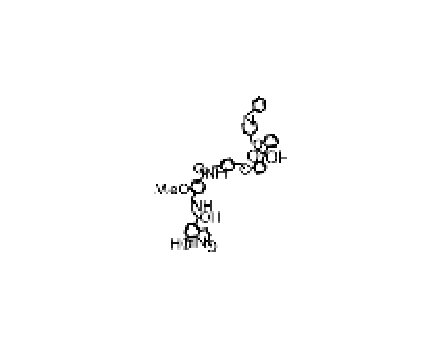 COc1cc(C(=O)NCc2ccc(COc3cccc([C@](O)(C(=O)OCC4CCN(Cc5ccccc5)CC4)c4ccccc4)c3)cc2)ccc1CNC[C@H](O)c1ccc(O)c2[nH]c(=O)ccc12